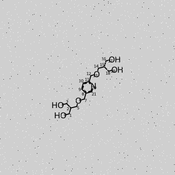 OCC(CO)COCc1ccc(COCC(CO)CO)nc1